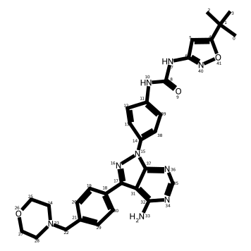 CC(C)(C)c1cc(NC(=O)Nc2ccc(-n3nc(-c4ccc(CN5CCOCC5)cc4)c4c(N)ncnc43)cc2)no1